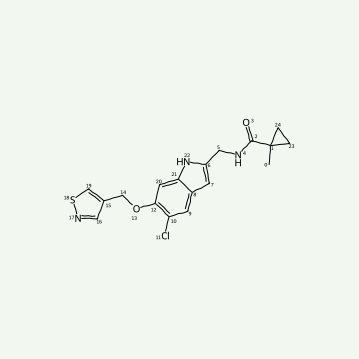 CC1(C(=O)NCc2cc3cc(Cl)c(OCc4cnsc4)cc3[nH]2)CC1